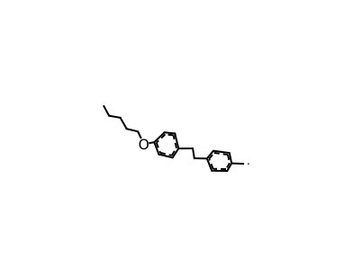 [CH2]c1ccc(CCc2ccc(OCCCCC)cc2)cc1